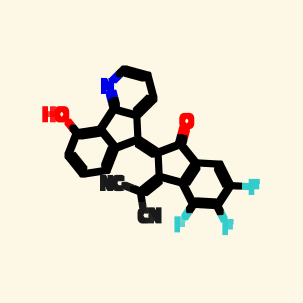 N#CC(C#N)=C1/C(=C2/c3cccnc3-c3c(O)cccc32)C(=O)c2cc(F)c(F)c(F)c21